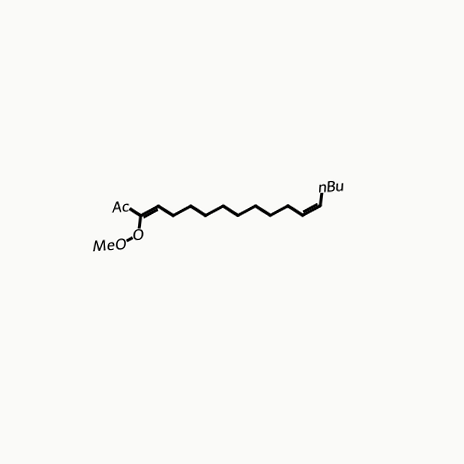 CCCC/C=C\CCCCCCCC/C=C(\OOC)C(C)=O